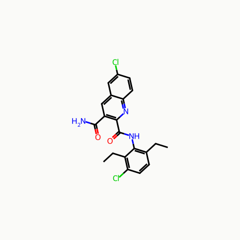 CCc1ccc(Cl)c(CC)c1NC(=O)c1nc2ccc(Cl)cc2cc1C(N)=O